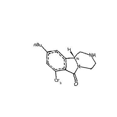 CCCCc1cc2c(c(C(F)(F)F)c1)C(=O)N1CCNC[C@@H]21